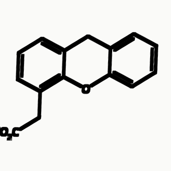 O=C(O)Cc1cccc2c1Oc1ccccc1C2